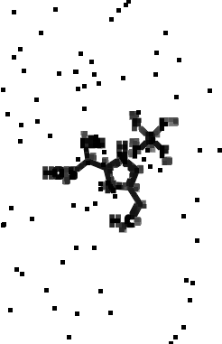 C=Cc1c[nH]c(C(CCCC)S(=O)(=O)O)n1.F[B-](F)(F)F